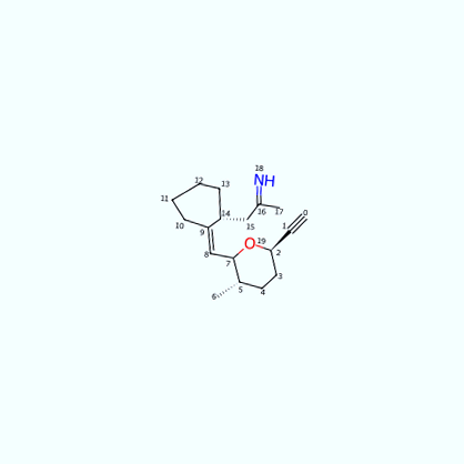 C#C[C@H]1CC[C@H](C)C(/C=C2/CCCC[C@@H]2CC(C)=N)O1